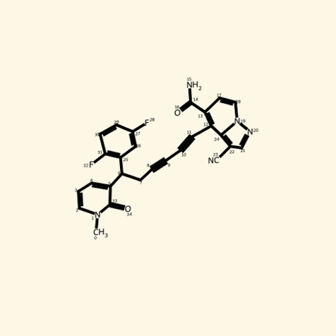 Cn1cccc(C(CC#CC#Cc2c(C(N)=O)ccn3ncc(C#N)c23)c2cc(F)ccc2F)c1=O